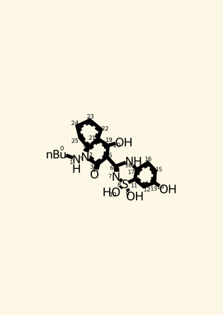 CCCCNn1c(=O)c(C2=NS(O)(O)c3cc(O)ccc3N2)c(O)c2ccccc21